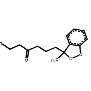 CC1(CCCC(=O)CCCl)OOc2ccccc21